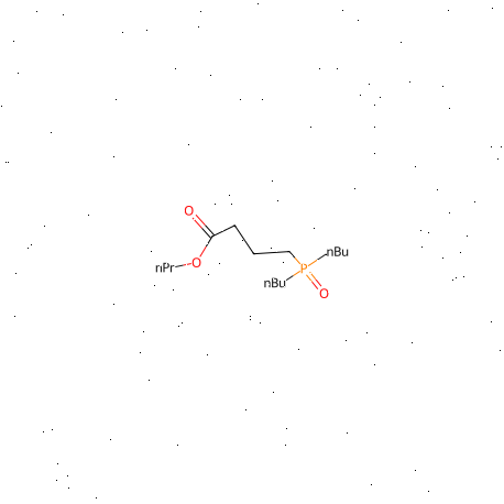 CCCCP(=O)(CCCC)CCCC(=O)OCCC